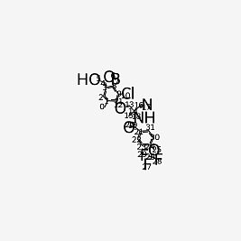 Cc1cc2c(O)obc2c(Cl)c1OCC(C)(C#N)NC(=O)c1ccc(OC(F)(F)F)cc1